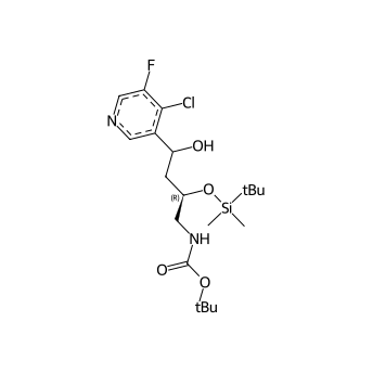 CC(C)(C)OC(=O)NC[C@@H](CC(O)c1cncc(F)c1Cl)O[Si](C)(C)C(C)(C)C